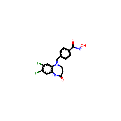 O=C1CCN(Cc2ccc(C(=O)NO)cc2)c2cc(F)c(F)cc2N1